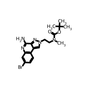 CN(CCn1cc2c(n1)c(N)nc1cc(Br)ccc12)C(=O)OC(C)(C)C